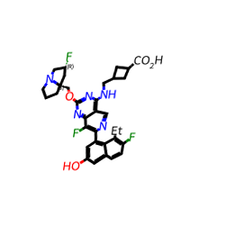 CCc1c(F)ccc2cc(O)cc(-c3ncc4c(NCC5CC(C(=O)O)C5)nc(OC[C@@]56CCCN5C[C@H](F)C6)nc4c3F)c12